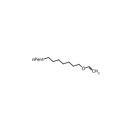 C=COCCCCCCCCCCCC